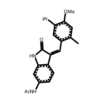 COc1cc(C)c(/C=C2\C(=O)Nc3cc(NC(C)=O)ccc32)cc1C(C)C